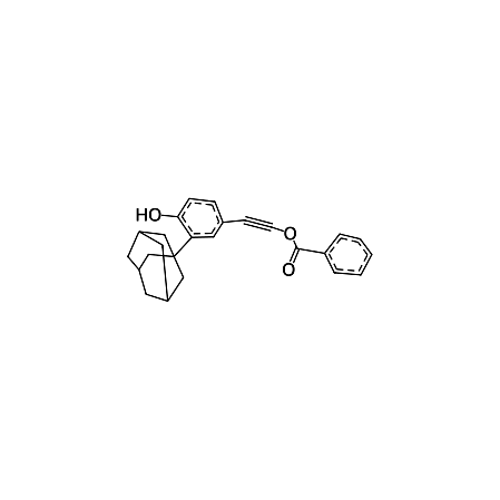 O=C(OC#Cc1ccc(O)c(C23CC4CC(CC(C4)C2)C3)c1)c1ccccc1